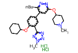 CCCCc1nnc(OC2CCN(C)CC2)cc1-c1ccc(OC2CCCCC2)c(-c2nnn(C)n2)c1.Cl.Cl